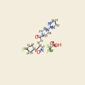 O=C(CCc1cnoc1-c1ccc(F)cc1)N1CCN(c2ncccn2)CC1.O=C(O)C(F)(F)F